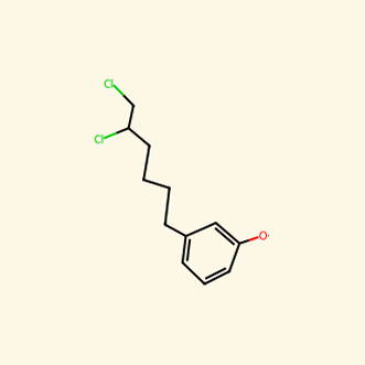 [O]c1cccc(CCCCC(Cl)CCl)c1